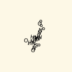 O=[N+]([O-])c1cc(S(=O)(=O)Nc2ncnc3cc(N4CCN(Cc5ccccc5-c5ccc(Oc6ccccc6)cc5)CC4)ccc23)ccc1NC(CCN1CCOCC1)CSc1ccccc1